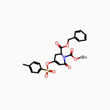 Cc1ccc(S(=O)(=O)OC2=CC(=O)N(C(=O)OC(C)(C)C)C(C(=O)OCc3ccccc3)C2)cc1